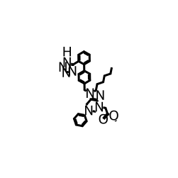 CCCCCc1nc2c(n1Cc1ccc(-c3ccccc3-c3nnn[nH]3)cc1)CN(c1ccccc1)CN2CC(=O)OC